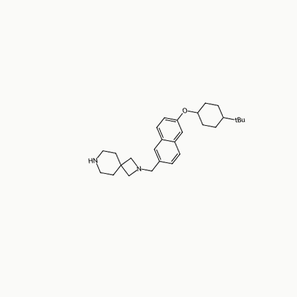 CC(C)(C)C1CCC(Oc2ccc3cc(CN4CC5(CCNCC5)C4)ccc3c2)CC1